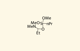 CCC[Si](OC)(OC)OC(CC)NC